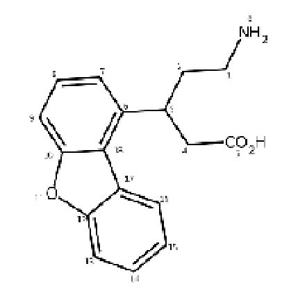 NCCC(CC(=O)O)c1cccc2oc3ccccc3c12